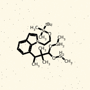 C[SiH2]OC(O[SiH2]C)C(C)(C)C(C)c1cccc2ccn(CCO[Si](C)(C)C(C)(C)C)c12